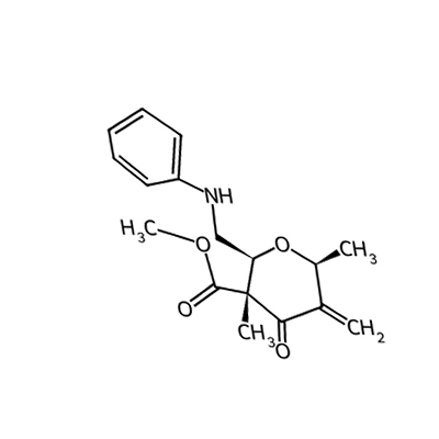 C=C1C(=O)[C@](C)(C(=O)OC)[C@@H](CNc2ccccc2)O[C@H]1C